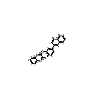 c1ccc2cc(-c3ccc4c(c3)Oc3nc5ccccc5nc3O4)ccc2c1